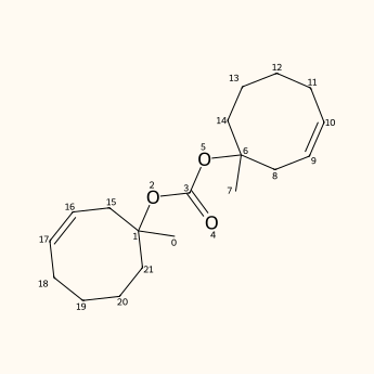 CC1(OC(=O)OC2(C)CC=CCCCC2)CC=CCCCC1